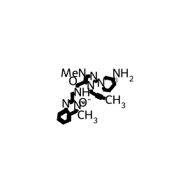 CC#CCn1c(N2CCC[C@@H](N)C2)nc(NC)c1C(=O)NCc1nc2ccccc2c(C)[n+]1[O-]